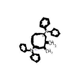 C=C1/C=C(/N(c2ccccc2)c2ccccc2)C=CC=C[C@@H](N(c2ccccc2)c2ccccc2)CC1=C